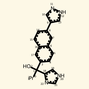 CC(C)C(O)(c1ccc2cc(-c3cn[nH]c3)ccc2c1)c1c[nH]cn1